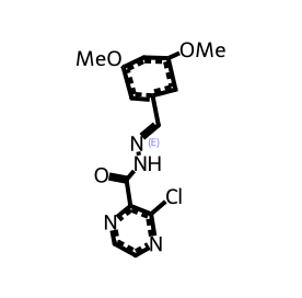 COc1cc(/C=N/NC(=O)c2nccnc2Cl)cc(OC)c1